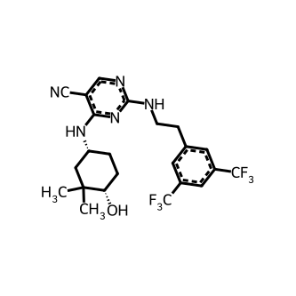 CC1(C)C[C@H](Nc2nc(NCCc3cc(C(F)(F)F)cc(C(F)(F)F)c3)ncc2C#N)CC[C@@H]1O